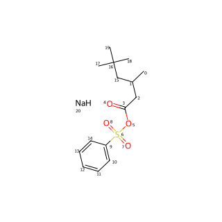 CC(CC(=O)OS(=O)(=O)c1ccccc1)CC(C)(C)C.[NaH]